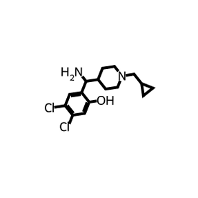 NC(c1cc(Cl)c(Cl)cc1O)C1CCN(CC2CC2)CC1